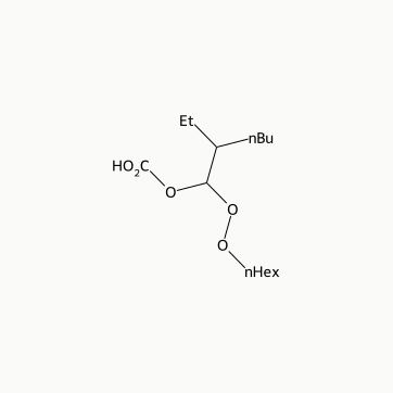 CCCCCCOOC(OC(=O)O)C(CC)CCCC